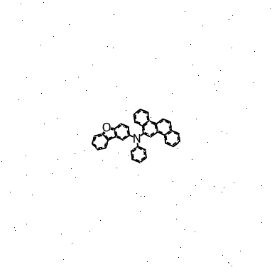 c1ccc(N(c2ccc3oc4ccccc4c3c2)c2cc3c4ccccc4ccc3c3ccccc23)cc1